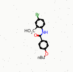 CCCCOc1ccc(C(=O)Nc2ccc(Br)cc2C(=O)O)cc1